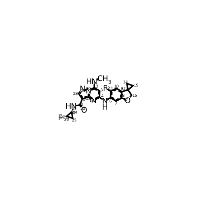 CNc1cc(Nc2cc3c(cc2F)C2(CC2)CO3)nc2c(C(=O)N[C@@H]3C[C@@H]3F)cnn12